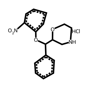 Cl.O=[N+]([O-])c1ccccc1OC(c1ccccc1)C1CNCCO1